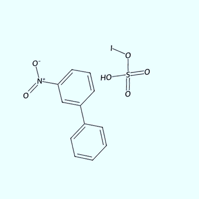 O=S(=O)(O)OI.O=[N+]([O-])c1cccc(-c2ccccc2)c1